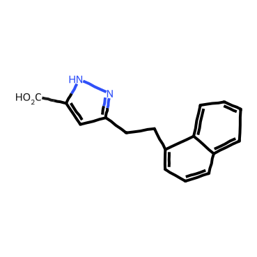 O=C(O)c1cc(CCc2cccc3ccccc23)n[nH]1